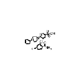 NC(=O)c1ccc(Cl)cc1Cl.O=S(=O)(O)c1ccc(N2CCN(c3ccccc3)CC2)nc1